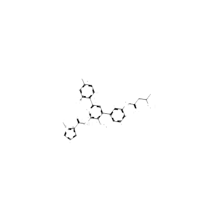 CC(N)CC(=O)Nc1cccc(-c2cc(-c3ccc(Cl)cc3O)nc(NC(=O)c3cccn3C)c2C#N)c1